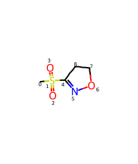 CS(=O)(=O)C1=NOCC1